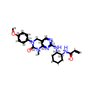 C=CC(=O)N[C@H]1CCCC[C@H]1Nc1ncc2c(n1)N(C)C(=O)N(c1ccc(OC)cc1)C2